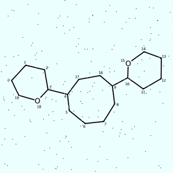 C1CCC([C]2CCCCC(C3CCCCO3)CC2)OC1